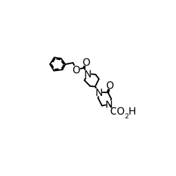 O=C(O)N1CCN(C2CCN(C(=O)OCc3ccccc3)CC2)C(=O)C1